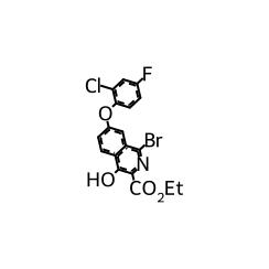 CCOC(=O)c1nc(Br)c2cc(Oc3ccc(F)cc3Cl)ccc2c1O